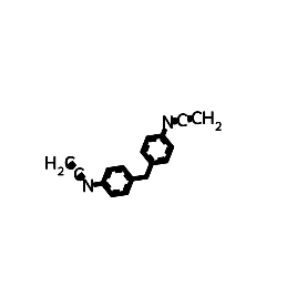 C=C=Nc1ccc(Cc2ccc(N=C=C)cc2)cc1